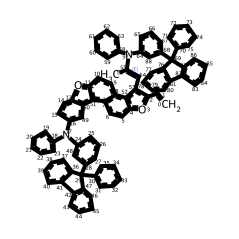 C=Cc1oc2ccc3c(ccc4oc5ccc(N(c6ccccc6)c6cccc(C7(c8ccccc8)c8ccccc8-c8ccccc87)c6)cc5c43)c2c1/C=C(\C)N(c1ccccc1)c1cccc(C2(c3ccccc3)c3ccccc3-c3ccccc32)c1